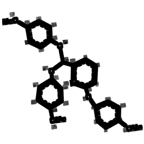 COc1ccc(Oc2cccc(C(Oc3ccc(OC)cc3)Oc3ccc(OC)cc3)n2)cc1